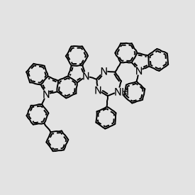 C1=C(c2cccc3c4ccccc4n(-c4ccccc4)c23)N=C(n2c3ccccc3c3c4c5ccccc5n(-c5cccc(-c6ccccc6)c5)c4ccc32)N=C(c2ccccc2)N1